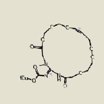 CN1CC(=O)OCCCC/C=C\CCCCCCCC(=O)N/C1=N/C(=O)OC(C)(C)C